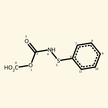 O=C(O)OC(=O)NSc1ccccc1